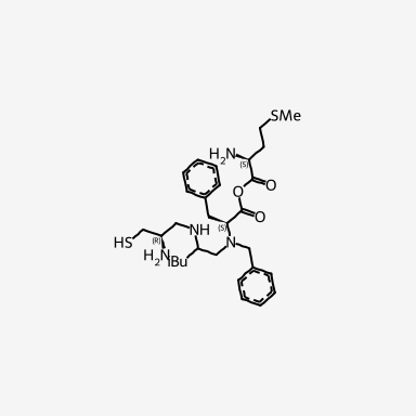 CCC(C)C(CN(Cc1ccccc1)[C@@H](Cc1ccccc1)C(=O)OC(=O)[C@@H](N)CCSC)NC[C@@H](N)CS